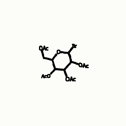 CC(=O)OCC1OC(Br)C(OC(C)=O)C(OC(C)=O)C1OC(C)=O